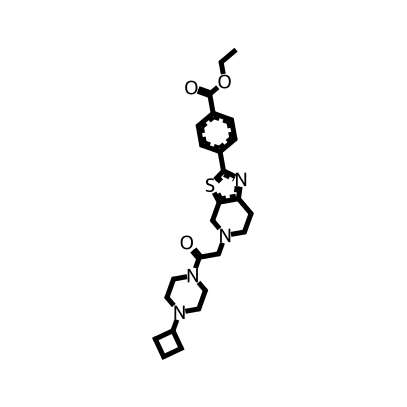 CCOC(=O)c1ccc(-c2nc3c(s2)CN(CC(=O)N2CCN(C4CCC4)CC2)CC3)cc1